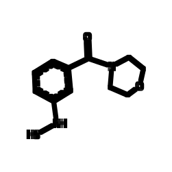 O=C(c1cccc(NS)c1)N1CCOCC1